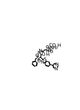 O=C(O)NS(=O)(=O)NCc1nnc(C(c2nc3ccc(-c4cncnc4)cc3s2)S(=O)(=O)Cc2ccccc2)o1